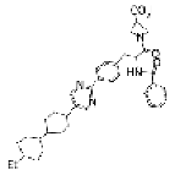 CCC1CCC(C2CC=C(c3cnc(-c4ccc(CC(NC(=O)c5ccccc5)C(=O)N5CC(C(=O)O)C5)cc4)nc3)CC2)CC1